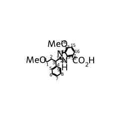 COCCC(c1ccccc1)c1nc2c(OC)ccc(C(=O)O)c2[nH]1